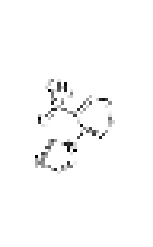 C[S+]([O-])c1ccccc1-n1ccnc1